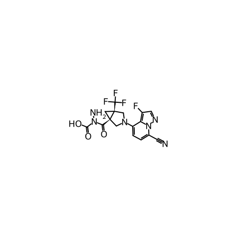 N#Cc1ccc(N2C[C@]3(C(=O)N(N)C(=O)O)C[C@]3(C(F)(F)F)C2)c2c(F)cnn12